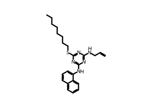 C=CCNc1nc(Nc2cccc3ccccc23)nc(SCCCCCCCC)n1